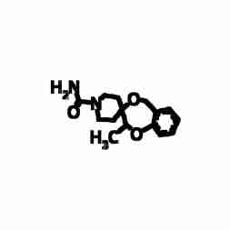 CC1Oc2ccccc2COC12CCN(C(N)=O)CC2